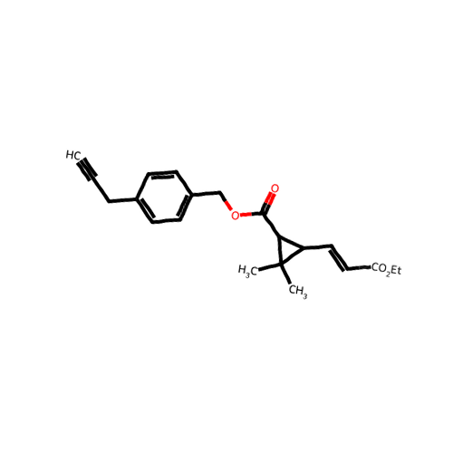 C#CCc1ccc(COC(=O)C2C(C=CC(=O)OCC)C2(C)C)cc1